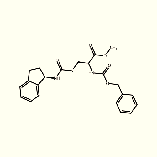 COC(=O)[C@H](CNC(=O)N[C@@H]1CCc2ccccc21)NC(=O)OCc1ccccc1